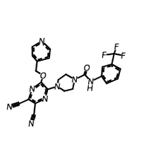 N#Cc1nc(OCc2ccncc2)c(N2CCN(C(=O)Nc3cccc(C(F)(F)F)c3)CC2)nc1C#N